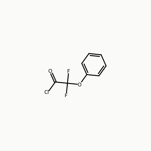 O=C(Cl)C(F)(F)Oc1ccccc1